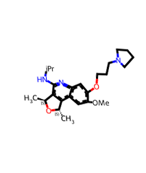 COc1cc2c3c(c(NC(C)C)nc2cc1OCCCN1CCCC1)[C@H](C)O[C@H]3C